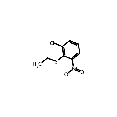 CCSc1c(Cl)cccc1[N+](=O)[O-]